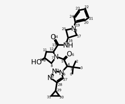 CC(C)(C)C(C(=O)N1CC(O)CC1C(=O)NC1CN(c2ccccc2)C1)n1cc(C2CC2)nn1